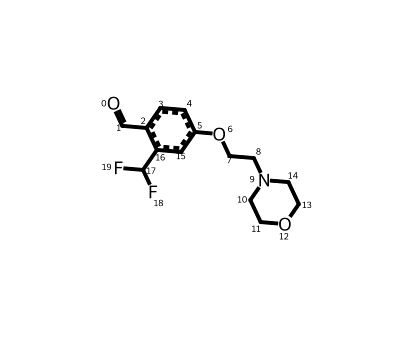 O=Cc1ccc(OCCN2CCOCC2)cc1C(F)F